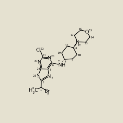 CC(Br)c1nc2c(N[C@H]3CC[C@H](N4CCOCC4)CC3)nc(Cl)nc2s1